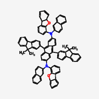 CC1(C)c2ccccc2-c2ccc(-c3c4ccc(N(c5ccc6ccccc6c5)c5cccc6c5oc5ccccc56)cc4c(-c4ccc5c(c4)C(C)(C)c4ccccc4-5)c4ccc(N(c5ccc6ccccc6c5)c5cccc6c5OC5C=CC=CC65)cc34)cc21